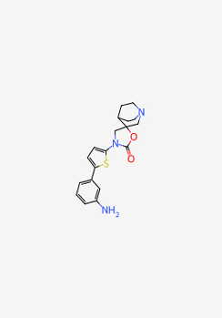 Nc1cccc(-c2ccc(N3CC4(CN5CCC4CC5)OC3=O)s2)c1